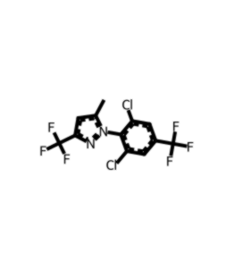 Cc1cc(C(F)(F)F)nn1-c1c(Cl)cc(C(F)(F)F)cc1Cl